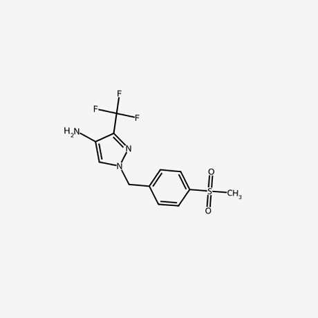 CS(=O)(=O)c1ccc(Cn2cc(N)c(C(F)(F)F)n2)cc1